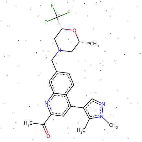 CC(=O)c1cc(-c2cnn(C)c2C)c2ccc(CN3C[C@@H](C)O[C@@H](C(F)(F)F)C3)cc2n1